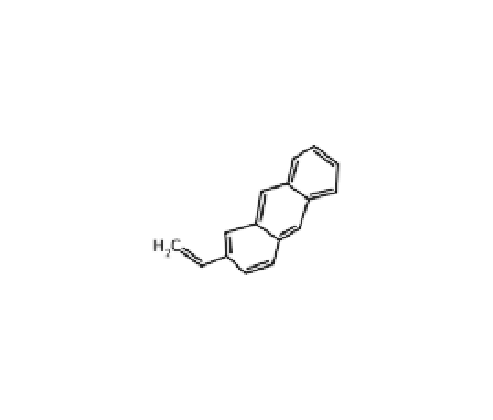 C=Cc1ccc2cc3ccccc3cc2c1